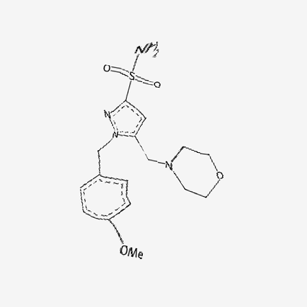 COc1ccc(Cn2nc(S(N)(=O)=O)cc2CN2CCOCC2)cc1